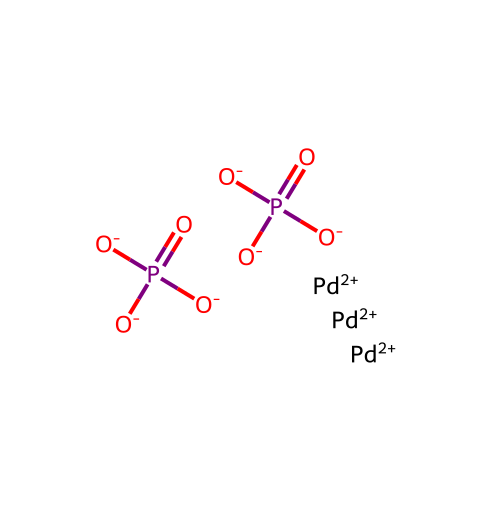 O=P([O-])([O-])[O-].O=P([O-])([O-])[O-].[Pd+2].[Pd+2].[Pd+2]